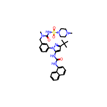 CN1CCN(S(=O)(=O)NC(=O)N(C)Cc2cccc(-n3nc(C(C)(C)C)cc3NC(=O)Nc3cccc4ccccc34)c2)CC1